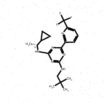 C[C@@H](Nc1nc(NCC(C)(C)C)nc(-c2cccc(C(F)(F)F)n2)n1)C1CC1